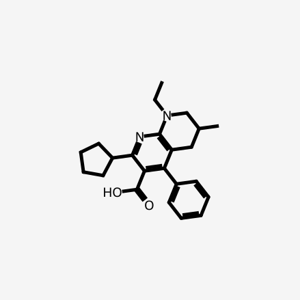 CCN1CC(C)Cc2c1nc(C1CCCC1)c(C(=O)O)c2-c1ccccc1